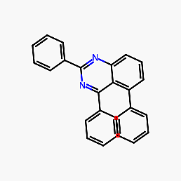 c1ccc(-c2nc(-c3ccccc3)c3c(-c4ccccc4)cccc3n2)cc1